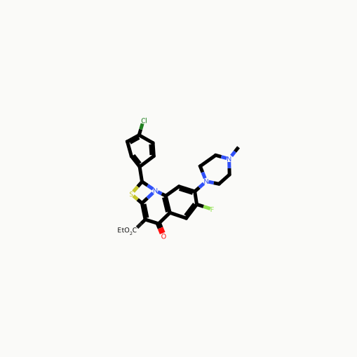 CCOC(=O)c1c2n(c3cc(N4CCN(C)CC4)c(F)cc3c1=O)C(c1ccc(Cl)cc1)S2